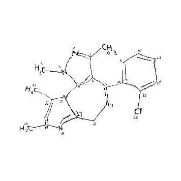 Cc1nn(C)c2c1C(c1ccccc1Cl)=NCc1nc(C)c(C)n1-2